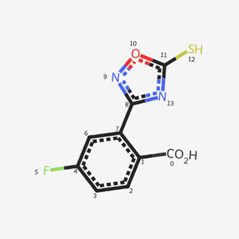 O=C(O)c1ccc(F)cc1-c1noc(S)n1